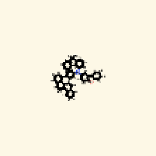 CC1(C)c2ccccc2-c2c(N(c3ccc(-c4cccc5ccc6c7ccccc7ccc6c45)cc3)c3ccc4oc5ccccc5c4c3)cccc21